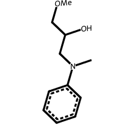 COCC(O)CN(C)c1ccccc1